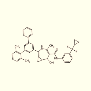 CC1=C(C(=O)Nc2cccc(C(F)(F)C3CC3)c2)C(O)C2CC2=C(c2cc(-c3ccccc3)cc(-c3c(C)cccc3C)c2)N1